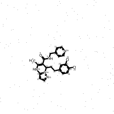 CC1=C(C(=O)NCc2ccncc2)C(CCc2ccc(Cl)c(Cl)c2)n2nccc2N1